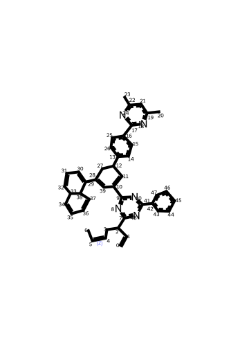 C=CC(C/C=C\C)c1nc(C2=CC(c3ccc(-c4nc(C)cc(C)n4)cc3)CC(C3=CC=CC4C=CC=CC34)=C2)nc(-c2ccccc2)n1